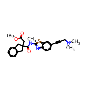 CN(C)CC#Cc1ccc2nc(N(C)C(=O)C3(CC(=O)OC(C)(C)C)Cc4ccccc4C3)sc2c1